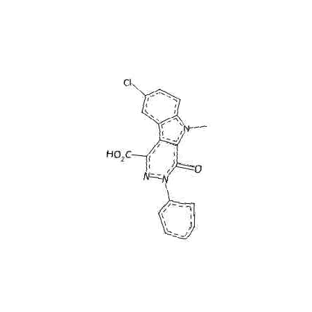 Cn1c2ccc(Cl)cc2c2c(C(=O)O)nn(-c3ccccc3)c(=O)c21